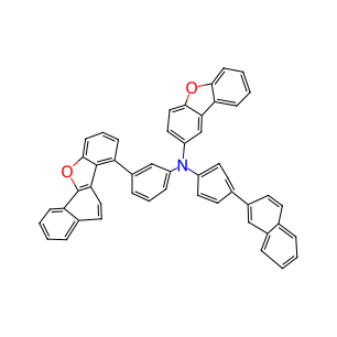 c1cc(-c2cccc3oc4c5ccccc5ccc4c23)cc(N(c2ccc(-c3ccc4ccccc4c3)cc2)c2ccc3oc4ccccc4c3c2)c1